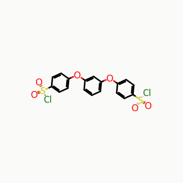 O=S(=O)(Cl)c1ccc(Oc2cccc(Oc3ccc(S(=O)(=O)Cl)cc3)c2)cc1